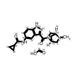 CN1C[C@@H]2C[C@H]1CN2C(=O)c1n[nH]c2ccc(NC(=O)C3CC3)cc12.O=CO